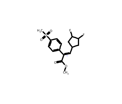 COC(=O)/C(=C/C1CC(F)C(F)C1)c1ccc(S(C)(=O)=O)cc1